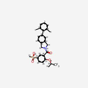 Cc1cccc(C)c1-c1ccc2c(c1)CN(C(=O)c1cc(S(C)(=O)=O)ccc1OC(C)C(F)(F)F)C2